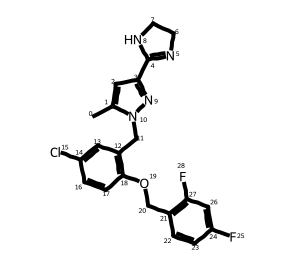 Cc1cc(C2=NCCN2)nn1Cc1cc(Cl)ccc1OCc1ccc(F)cc1F